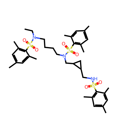 CCN(CCCCN(CC1CC1CNS(=O)(=O)c1c(C)cc(C)cc1C)S(=O)(=O)c1c(C)cc(C)cc1C)S(=O)(=O)c1c(C)cc(C)cc1C